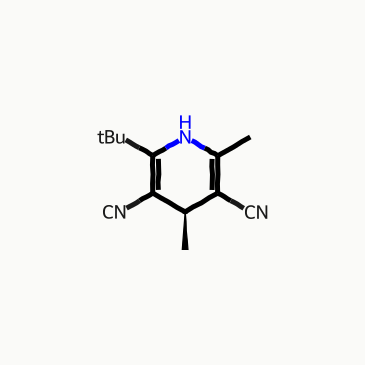 [C-]#[N+]C1=C(C(C)(C)C)NC(C)=C(C#N)[C@H]1C